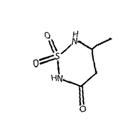 CC1CC(=O)NS(=O)(=O)N1